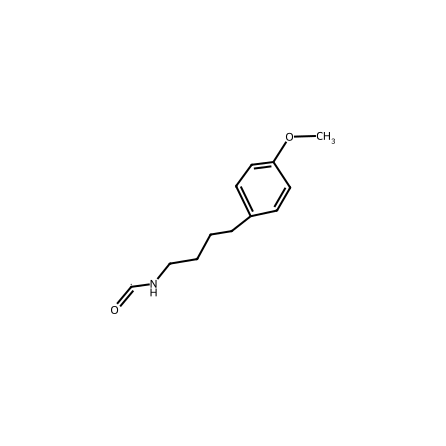 COc1ccc(CCCCN[C]=O)cc1